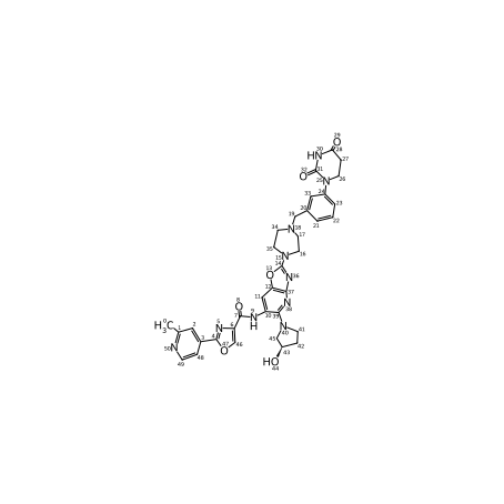 Cc1cc(-c2nc(C(=O)Nc3cc4oc(N5CCN(Cc6cccc(N7CCC(=O)NC7=O)c6)CC5)nc4nc3N3CC[C@@H](O)C3)co2)ccn1